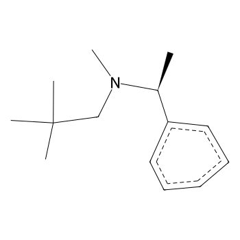 C[C@@H](c1ccccc1)N(C)CC(C)(C)C